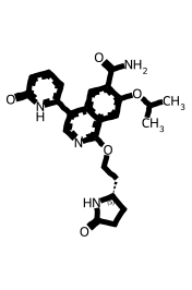 CC(C)Oc1cc2c(OCC[C@@H]3CCC(=O)N3)ncc(-c3cccc(=O)[nH]3)c2cc1C(N)=O